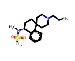 CN([C@H]1CCC2(CCN(CCC(C)(C)C)CC2)c2ccccc21)S(C)(=O)=O